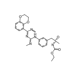 C=N/C(=N\C(=N/C)Nc1cccc(CS(C)(=O)=NC(=O)OCC)c1)c1cccc2c1OCCO2